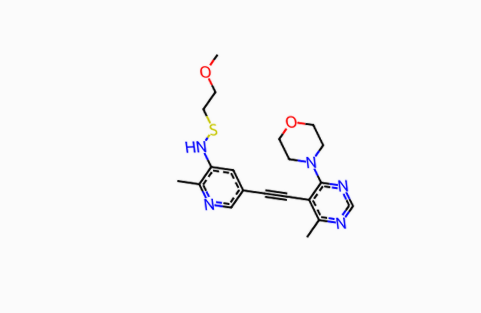 COCCSNc1cc(C#Cc2c(C)ncnc2N2CCOCC2)cnc1C